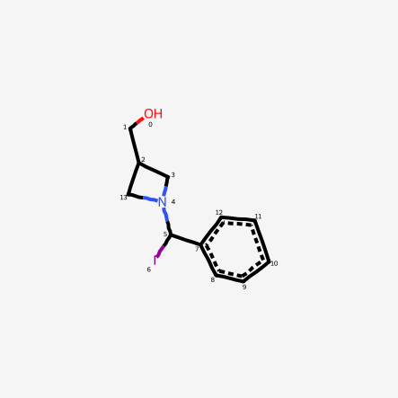 OCC1CN(C(I)c2ccccc2)C1